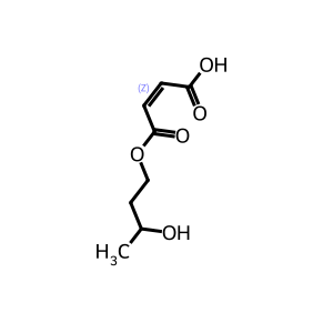 CC(O)CCOC(=O)/C=C\C(=O)O